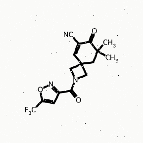 CC1(C)CC2(C=C(C#N)C1=O)CN(C(=O)c1cc(C(F)(F)F)on1)C2